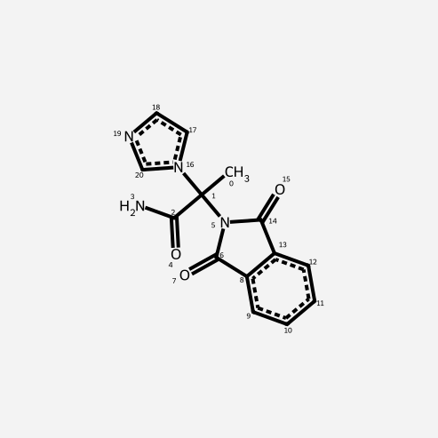 CC(C(N)=O)(N1C(=O)c2ccccc2C1=O)n1ccnc1